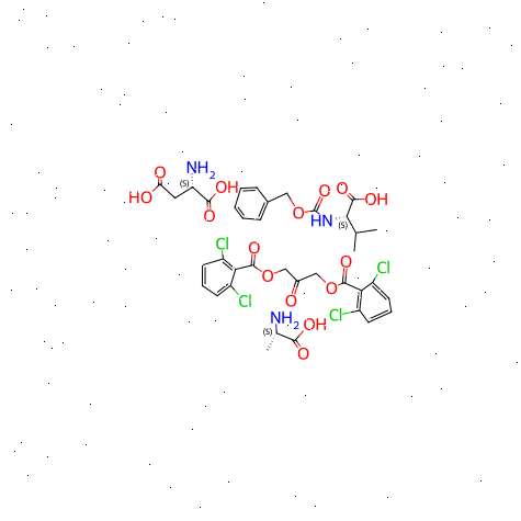 CC(C)[C@H](NC(=O)OCc1ccccc1)C(=O)O.C[C@H](N)C(=O)O.N[C@@H](CC(=O)O)C(=O)O.O=C(COC(=O)c1c(Cl)cccc1Cl)COC(=O)c1c(Cl)cccc1Cl